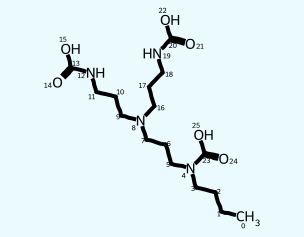 CCCCN(CCCN(CCCNC(=O)O)CCCNC(=O)O)C(=O)O